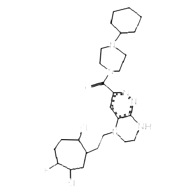 O=C(c1cc2c(nn1)NCCN2CCC1CC(Cl)C(F)CCC1Cl)N1CCN(C2CCCCC2)CC1